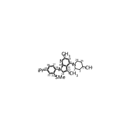 [CH]C1CCN(c2cc(C)nc3c2c(C)cn3-c2ccc(C(C)C)cc2SC)CC1